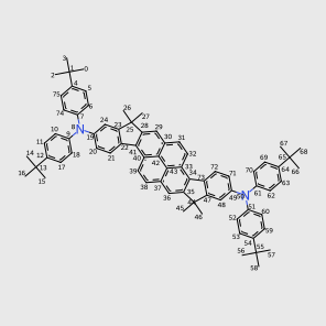 CC(C)(C)c1ccc(N(c2ccc(C(C)(C)C)cc2)c2ccc3c(c2)C(C)(C)c2cc4ccc5c6c(cc7ccc(c2-3)c4c75)C(C)(C)c2cc(N(c3ccc(C(C)(C)C)cc3)c3ccc(C(C)(C)C)cc3)ccc2-6)cc1